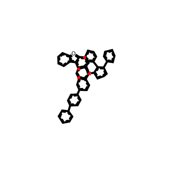 c1ccc(-c2ccc(-c3ccc(N(c4ccc5oc6ccccc6c5c4)c4cccc(-c5ccccc5)c4-c4ccccc4-c4ccccc4)cc3)cc2)cc1